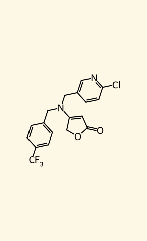 O=C1C=C(N(Cc2ccc(C(F)(F)F)cc2)Cc2ccc(Cl)nc2)CO1